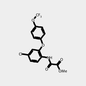 COC(=O)C(=O)Nc1ccc(Cl)cc1Oc1ccc(OC(F)(F)F)cc1